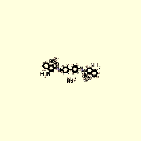 Nc1cc(/N=N/c2ccc(-c3ccc(/N=N/c4cc(N)c5ccccc5c4S(=O)(=O)[O-])cc3)cc2)c(S(=O)(=O)[O-])c2ccccc12.[Na+].[Na+]